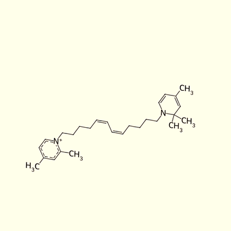 CC1=CC(C)(C)N(CCCC/C=C\C=C/CCCC[n+]2ccc(C)cc2C)C=C1